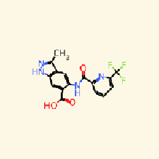 Cc1n[nH]c2cc(C(=O)O)c(NC(=O)c3cccc(C(F)(F)F)n3)cc12